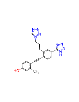 Oc1ccc(C#Cc2ccc(-c3nnn[nH]3)cc2CCCn2cnnn2)c(C(F)(F)F)c1